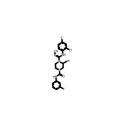 CC(C)C1CN(C(=O)Nc2cccc(F)c2)CCN1/C(=N/C#N)Nc1ccc(F)cc1Cl